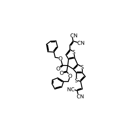 N#CC(C#N)=Cc1cc2c(s1)-c1sc3cc(C=C(C#N)C#N)sc3c1C2(C(=O)OCc1ccccc1)C(=O)OCc1ccccc1